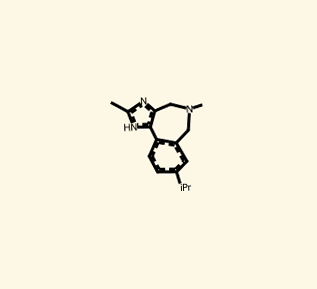 Cc1nc2c([nH]1)-c1ccc(C(C)C)cc1CN(C)C2